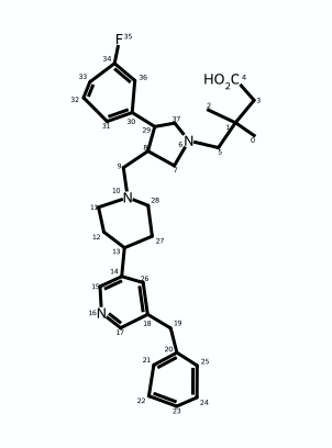 CC(C)(CC(=O)O)CN1CC(CN2CCC(c3cncc(Cc4ccccc4)c3)CC2)C(c2cccc(F)c2)C1